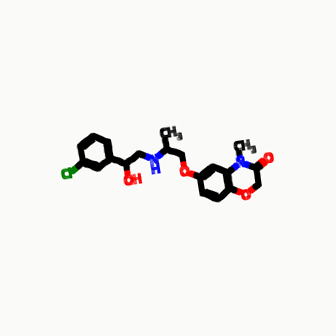 CC(COc1ccc2c(c1)N(C)C(=O)CO2)NCC(O)c1cccc(Cl)c1